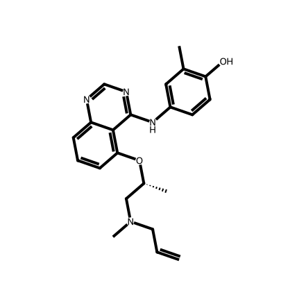 C=CCN(C)C[C@@H](C)Oc1cccc2ncnc(Nc3ccc(O)c(C)c3)c12